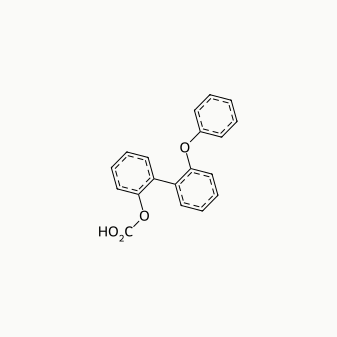 O=C(O)Oc1ccccc1-c1ccccc1Oc1ccccc1